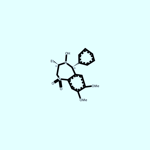 CC[C@H]1CS(=O)(=O)c2cc(OC)c(OC)cc2[C@@H](c2ccccc2)N1O